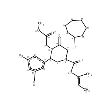 C/C=C(\C)OC(=O)N1CC(c2cc(F)cc(F)c2)N(CC(=O)OC)C(=O)[C@@H]1CC1CCCCCC1